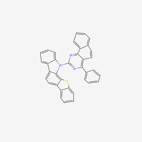 c1ccc(-c2nc(-n3c4ccccc4c4ccc5c6ccccc6sc5c43)nc3c2ccc2ccccc23)cc1